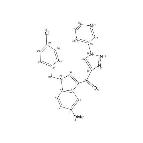 COc1ccc2c(c1)c(C(=O)c1cn(-c3cnccn3)nn1)cn2Cc1ccc(Cl)cc1